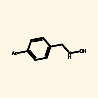 CC(=O)c1ccc(CNO)cc1